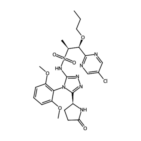 CCCO[C@@H](c1ncc(Cl)cn1)[C@H](C)S(=O)(=O)Nc1nnc([C@@H]2CCC(=O)N2)n1-c1c(OC)cccc1OC